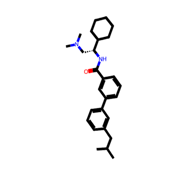 CC(C)Cc1cccc(-c2cccc(C(=O)N[C@H](CN(C)C)C3CCCCC3)c2)c1